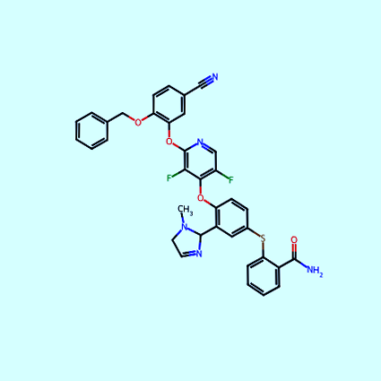 CN1CC=NC1c1cc(Sc2ccccc2C(N)=O)ccc1Oc1c(F)cnc(Oc2cc(C#N)ccc2OCc2ccccc2)c1F